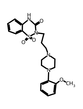 COc1ccccc1N1CCN(CCCN2C(=O)Nc3ccccc3S2(=O)=O)CC1